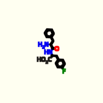 N[C@H](Cc1ccccc1)C(=O)NC(Cc1ccc(F)cc1)C(=O)O